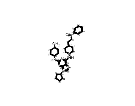 N[C@H]1CC[C@H](Nc2nc(NN3CCC(CC[S+]([O-])c4ccccc4)CC3)c3ncn(C4CCCC4)c3n2)CC1